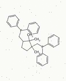 CC1(CP(c2ccccc2)c2ccccc2)CCC(CP(c2ccccc2)c2ccccc2)C1(C)C